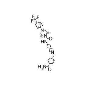 C[C@@H]1CN(c2ncc(C(F)(F)F)cn2)C[C@H](C)N1C(=O)NC1CC2(C1)CN(Cc1ccc(C(N)=O)cc1)C2